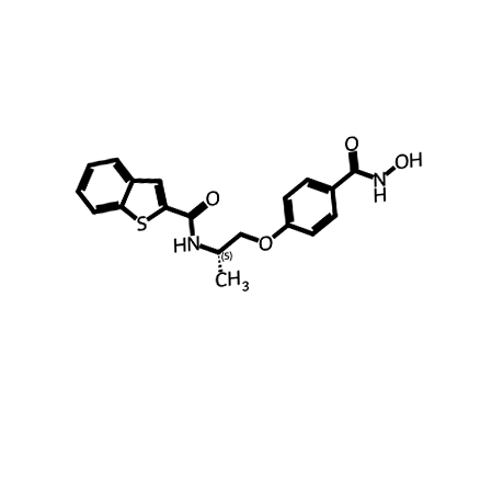 C[C@@H](COc1ccc(C(=O)NO)cc1)NC(=O)c1cc2ccccc2s1